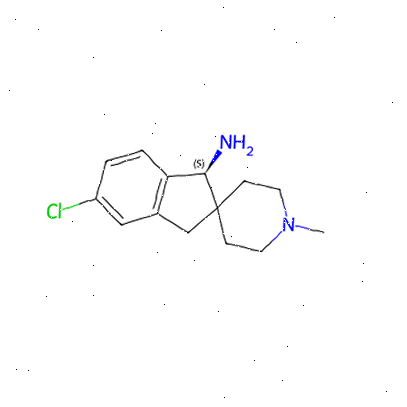 CN1CCC2(CC1)Cc1cc(Cl)ccc1[C@H]2N